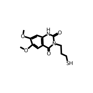 COc1cc2[nH]c(=O)n(CCCS)c(=O)c2cc1OC